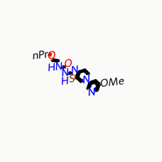 CCCOCCNC(=O)Nc1nc2c(s1)CN(c1cncc(OC)c1)CC2